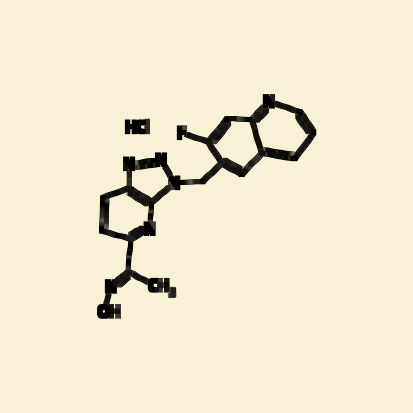 C/C(=N\O)c1ccc2nnn(Cc3cc4cccnc4cc3F)c2n1.Cl